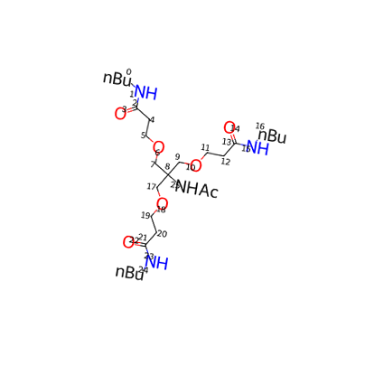 CCCCNC(=O)CCOCC(COCCC(=O)NCCCC)(COCCC(=O)NCCCC)NC(C)=O